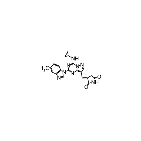 Cc1ccc2c(c1)ncn2-c1nc(NC2CC2)n2ncc(C=C3CC(=O)NC3=O)c2n1